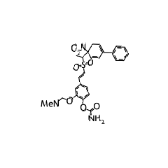 CNCOc1cc(/C=C/S(=O)(=O)C(C)C2([N+](=O)[O-])C=CC(c3ccccc3)=CC2)ccc1OC(N)=O